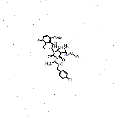 C=C1C(/C(C)=N/OC(C)C)C(=O)N(N(C)C(=O)CC2=CCC(Cl)C=C2)C(=O)N1CC(O)C1=C(OC)C=CC(F)C1C